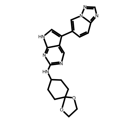 c1nc2ccc(-c3c[nH]c4nc(NC5CCC6(CC5)OCCO6)ncc34)cn2n1